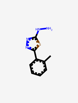 Cc1ccccc1-c1nnc(NN)s1